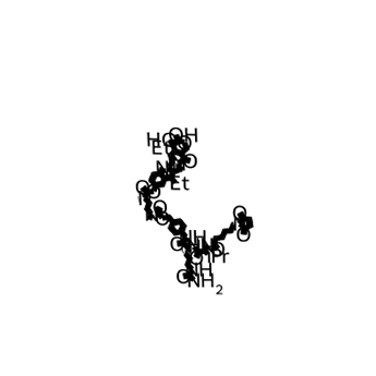 CCc1c2c(nc3ccc(OC(=O)N(C)CCN(C)C(=O)OCc4ccc(NC(=O)[C@H](CCCNC(N)=O)NC(=O)C(NC(=O)CCCCCN5C(=O)C=CC5=O)C(C)C)cc4)cc13)-c1cc3c(c(=O)n1C2)COC(O)C3(O)CC